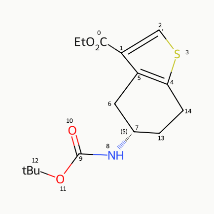 CCOC(=O)c1[c]sc2c1C[C@@H](NC(=O)OC(C)(C)C)CC2